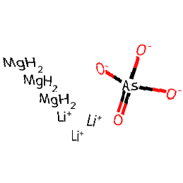 O=[As]([O-])([O-])[O-].[Li+].[Li+].[Li+].[MgH2].[MgH2].[MgH2]